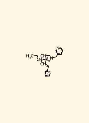 CCOC(C)(C)[C@]1(CCc2cccs2)CCN(Cc2cccnc2)C1